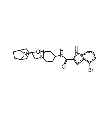 O=C(NC1CCN(CCN2C3CCC2CC(O)C3)CC1)c1cc2c(Br)cccc2[nH]1